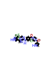 O=C(c1ccc(Nc2nccn3c(-c4c[nH]nc4C(F)(F)F)cnc23)cc1Cl)N1CCN(C(=O)[C@@H]2CCNC2)CC1